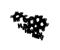 C=NN1/C(=N\N)NC(C)=C(C(=O)OCc2ccccc2)C1c1cccc2ccccc12